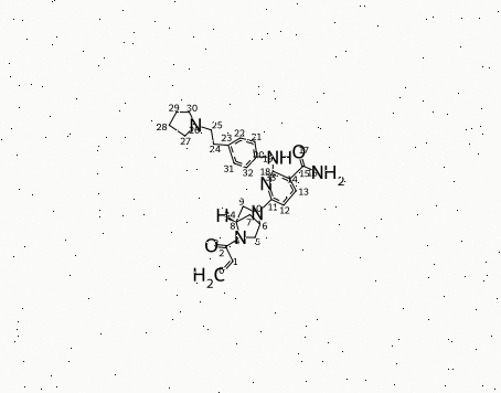 C=CC(=O)N1CC2C[C@H]1CN2c1ccc(C(N)=O)c(Nc2ccc(CCN3CCCC3)cc2)n1